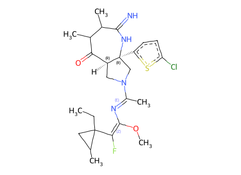 CCC1(/C(F)=C(\N=C(/C)N2C[C@H]3C(=O)C(C)C(C)C(=N)N[C@@]3(c3ccc(Cl)s3)C2)OC)CC1C